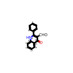 O=Cc1c(-c2ccccc2)[nH]c2ccccc2c1=O